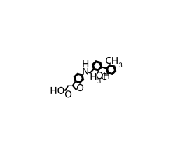 Cc1cccc(C)c1-c1cccc(CNc2ccc3c(c2)OC[C@H]3CC(=O)O)c1O